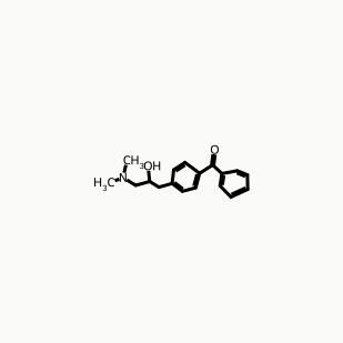 CN(C)CC(O)Cc1ccc(C(=O)c2ccccc2)cc1